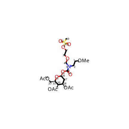 COCCN(COCCOS(C)(=O)=O)C(=O)O[C@H]1C[C@@H](OC(C)=O)[C@@H](OC(C)=O)[C@@H](COC(C)=O)O1